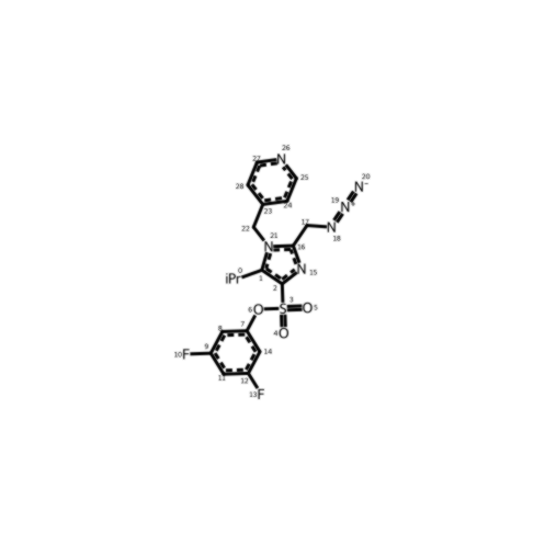 CC(C)c1c(S(=O)(=O)Oc2cc(F)cc(F)c2)nc(CN=[N+]=[N-])n1Cc1ccncc1